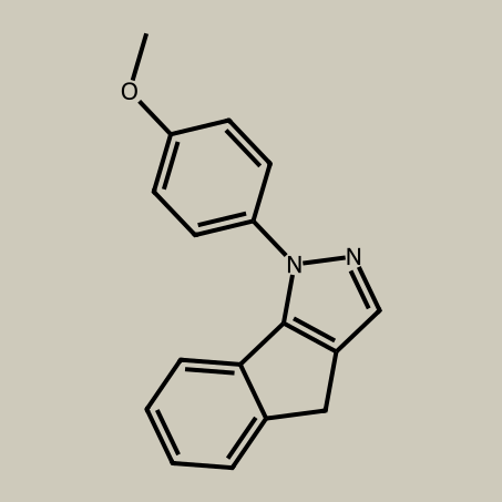 COc1ccc(-n2ncc3c2-c2ccccc2C3)cc1